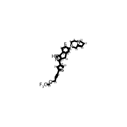 Fc1cc2c(cc1N1CCN3CCC=C3C1)Cc1c(-c3csc(C#CCOCC(F)(F)F)c3)n[nH]c1-2